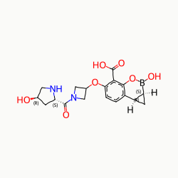 O=C(O)c1c(OC2CN(C(=O)[C@@H]3C[C@@H](O)CN3)C2)ccc2c1OB(O)[C@H]1C[C@@H]21